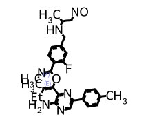 CC/C(C)=C(/O/C(=N\C)c1ccc(CNC(C)CN=O)cc1F)c1nc(-c2ccc(C)cc2)cnc1N